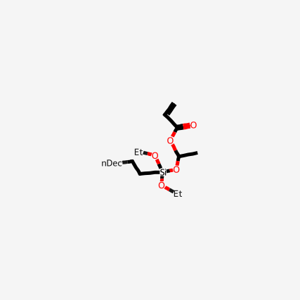 C=CC(=O)OC(C)O[Si](CCCCCCCCCCCC)(OCC)OCC